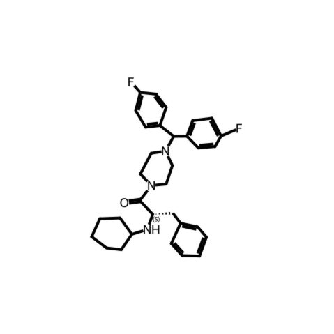 O=C([C@H](Cc1ccccc1)NC1CCCCC1)N1CCN(C(c2ccc(F)cc2)c2ccc(F)cc2)CC1